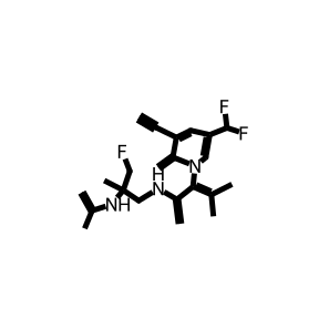 C#CC1=CC(C(F)F)=CN(C(C(=C)NCC(C)(CF)NC(=C)C)=C(C)C)C1=C